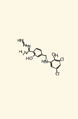 N=N/N=C(\N)c1ccc(CNc2cc(Cl)cc(Cl)c2O)cc1O